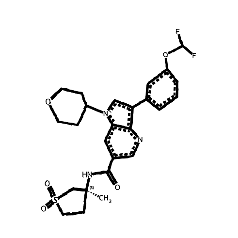 C[C@]1(NC(=O)c2cnc3c(-c4cccc(OC(F)F)c4)cn(C4CCOCC4)c3c2)CCS(=O)(=O)C1